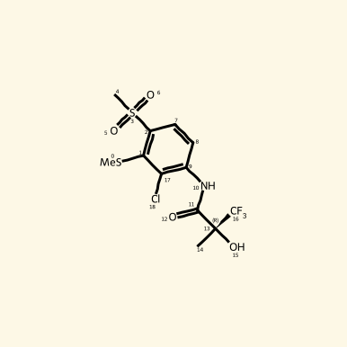 CSc1c(S(C)(=O)=O)ccc(NC(=O)[C@@](C)(O)C(F)(F)F)c1Cl